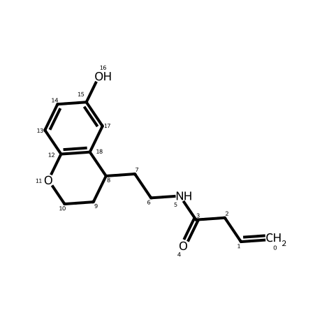 C=CCC(=O)NCCC1CCOc2ccc(O)cc21